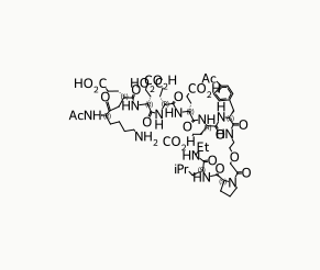 CCNC(=O)[C@H](CC(C)C)NC(=O)[C@@H]1CCCN1C(=O)COCCNC(=O)[C@H](Cc1ccc(C(C)=O)cc1)NC(=O)[C@@H](CCC(=O)O)NC(=O)[C@@H](CCC(=O)O)NC(=O)[C@@H](CCC(=O)O)NC(=O)[C@@H](CCC(=O)O)NC(=O)[C@@H](CCC(=O)O)CC(=O)[C@@H](CCCCN)NC(C)=O